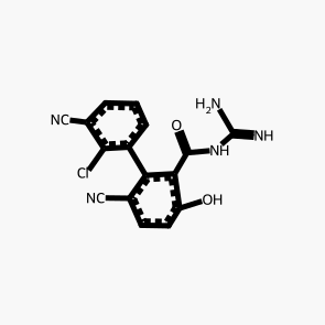 N#Cc1cccc(-c2c(C#N)ccc(O)c2C(=O)NC(=N)N)c1Cl